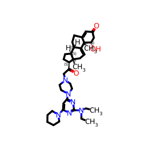 CCN(CC)c1nc(N2CCCCC2)cc(N2CCN(CC(=O)[C@H]3CC[C@H]4[C@@H]5CCC6=CC(=O)C[C@H](O)[C@]6(C)C5=CC[C@]34C)CC2)n1